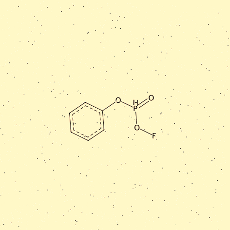 O=[PH](OF)Oc1ccccc1